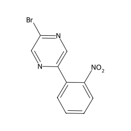 O=[N+]([O-])c1ccccc1-c1cnc(Br)cn1